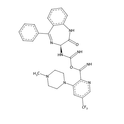 CN1CCN(c2cc(C(F)(F)F)cnc2C(=N)OC(=N)N[C@H]2N=C(c3ccccc3)c3ccccc3NC2=O)CC1